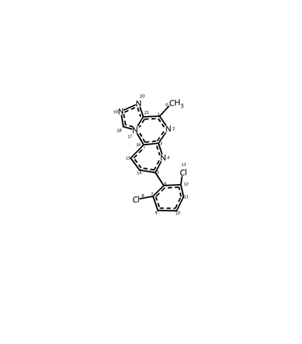 Cc1nc2nc(-c3c(Cl)cccc3Cl)ccc2n2cnnc12